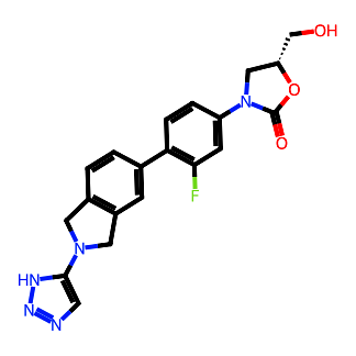 O=C1O[C@@H](CO)CN1c1ccc(-c2ccc3c(c2)CN(c2cnn[nH]2)C3)c(F)c1